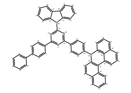 c1ccc(-c2ccc(-c3nc(-c4ccc(N5c6ccc7ccccc7c6-c6cccc7cccc5c67)cc4)nc(-n4c5ccccc5c5ccccc54)n3)cc2)cc1